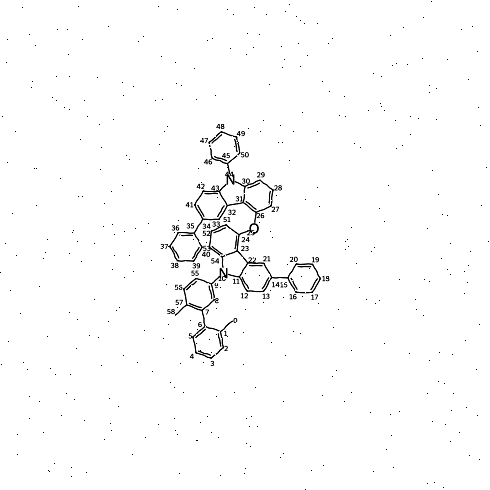 Cc1ccccc1-c1cc(-n2c3ccc(-c4ccccc4)cc3c3c(Oc4cccc5c4c4cc(-c6ccccc6)ccc4n5-c4ccccc4)cccc32)ccc1C